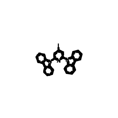 Ic1cc(-n2c3ccccc3c3ccccc32)nc(-n2c3ccccc3c3ccccc32)c1